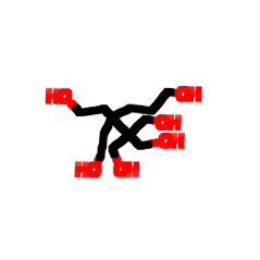 OCCCC(CCO)(CCO)C(CO)(CO)CO